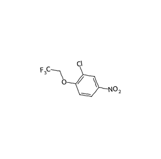 O=[N+]([O-])c1ccc(OCC(F)(F)F)c(Cl)c1